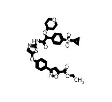 CCOC(=O)c1cc(-c2ccc(Oc3cnc(NC(=O)C(OC4CCOCC4)c4ccc(S(=O)(=O)C5CC5)cc4)s3)cc2)no1